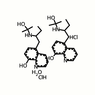 CCC(Cc1ccc(O)c2ncccc12)NC(C)(C)O.CCC(Cc1ccc(O)c2ncccc12)NC(C)(C)O.Cl.Cl.O